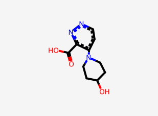 O=C(O)c1nnccc1N1CCC(O)CC1